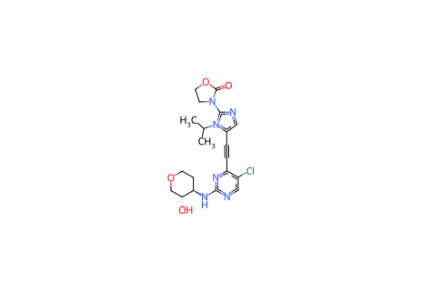 CC(C)n1c(C#Cc2nc(N[C@@H]3CCOC[C@H]3O)ncc2Cl)cnc1N1CCOC1=O